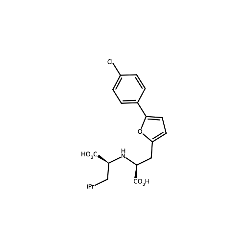 CC(C)C[C@H](N[C@@H](Cc1ccc(-c2ccc(Cl)cc2)o1)C(=O)O)C(=O)O